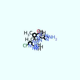 [2H]C([2H])([2H])n1nnc(-c2nc(Cl)ccc2N[C@@]([2H])(C)c2cc(C)cc3c(=O)n(C([2H])([2H])[2H])c4c(-c5cnc(N)nc5)ncn4c23)n1